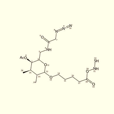 CC(=O)O[C@H]1C(CNC(=O)CN=[N+]=[N-])OC(OCCCCC(=O)ONS)C(C)[C@H]1C